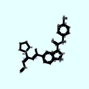 C=N/C=C(\C=C(/C)c1ccc2[nH]nc(C(=O)Nc3ccc(O)nc3)c2c1)N1CCCC1